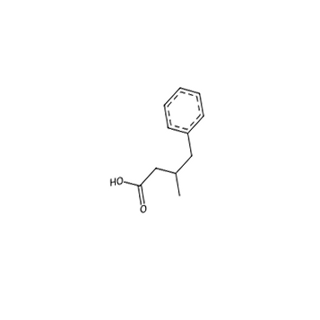 CC(CC(=O)O)Cc1ccccc1